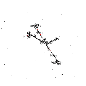 CCC(C)(C)SSCCOCCOCCC(=O)CC(CCCOC(=O)CCCCCCCNC(=O)CCCOC1OC(CO)C(O)C(O)C1C)(CCCOC(=O)CCCCCCCNC(=O)CCCOC1OC(CO)C(O)C(O)C1C)CCCOC(=O)NCCCCCCCC(=O)CCCOC1OC(CO)C(O)C(O)C1C